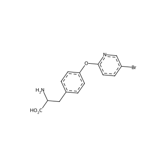 NC(Cc1ccc(Oc2ccc(Br)cn2)cc1)C(=O)O